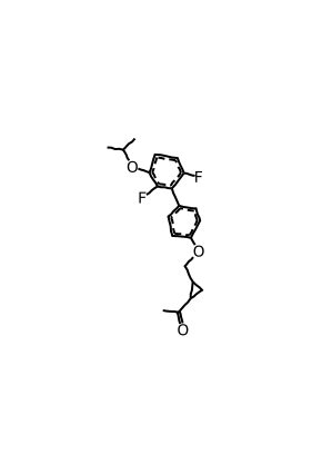 CC(=O)C1CC1COc1ccc(-c2c(F)ccc(OC(C)C)c2F)cc1